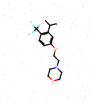 CC(C)c1cc(OCCN2CCOCC2)ccc1C(F)(F)F